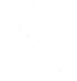 COc1cccc(CCOCc2nc(N)sc2Cc2cccc(OC)c2)c1